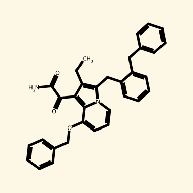 CCc1c(C(=O)C(N)=O)c2c(OCc3ccccc3)cccn2c1Cc1ccccc1Cc1ccccc1